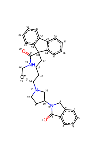 O=C1c2ccccc2CN1C1CCN(CCCCC2(C(=O)NCC(F)(F)F)c3ccccc3-c3ccccc32)C1